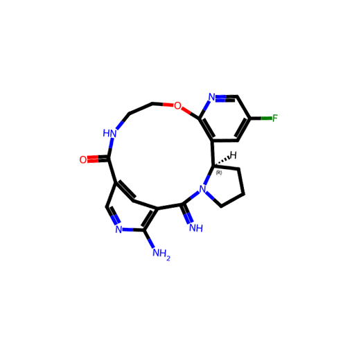 N=C1c2cc(cnc2N)C(=O)NCCOc2ncc(F)cc2[C@H]2CCCN12